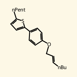 CCCCC=CCOc1ccc(-c2ccc(CCCCC)s2)cc1